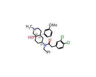 COc1cccc([C@@]23CCN(C)C[C@@]2(O)CC[C@H](N(CC(C)C)C(=O)Cc2ccc(Cl)c(Cl)c2)C3)c1